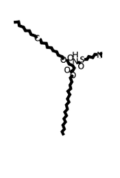 CCCCCCCCCCCCCCCCCCOC(=O)CC(CC(=O)OCCCCCCCCCCCCCCCCCC)NC(=O)SCCCCN(C)C